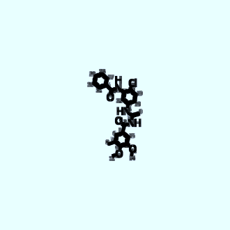 C=C(NC(=O)c1cc(C)c(OC)c(OC)c1)Nc1ccc(Cl)c(NC(=O)c2ccccc2)c1